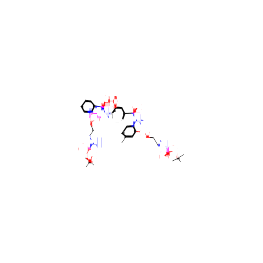 COc1cc(C(=O)N(C)c2ccc(C)cc2OCCCNC(=O)OC(C)(C)C)ccc1NC(=O)c1ccccc1OCCCNC(=O)OC(C)(C)C